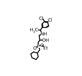 CCOP(=O)(CC(O)CNC(C)c1ccc(Cl)c(Cl)c1)CC1CCCCC1